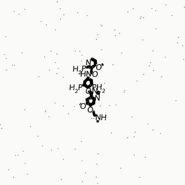 CNCCOc1cc2ncnc(Oc3c(P)cc(NC(=O)c4c(OC)ccnc4P)cc3P)c2cc1OC